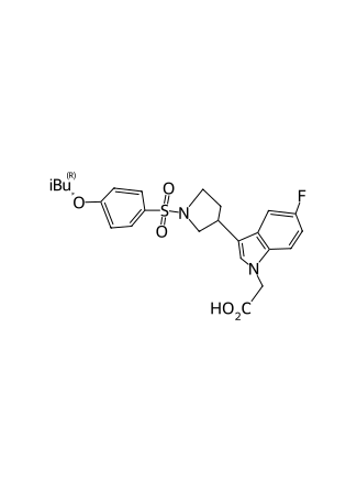 CC[C@@H](C)Oc1ccc(S(=O)(=O)N2CCC(c3cn(CC(=O)O)c4ccc(F)cc34)C2)cc1